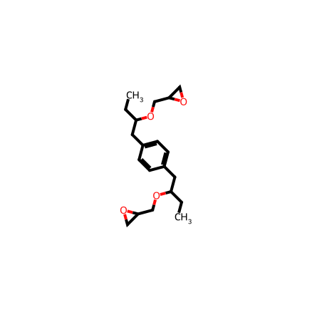 CCC(Cc1ccc(CC(CC)OCC2CO2)cc1)OCC1CO1